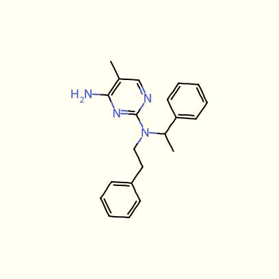 Cc1cnc(N(CCc2ccccc2)C(C)c2ccccc2)nc1N